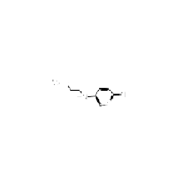 COCCNc1ccc([N+](=O)[O-])nc1